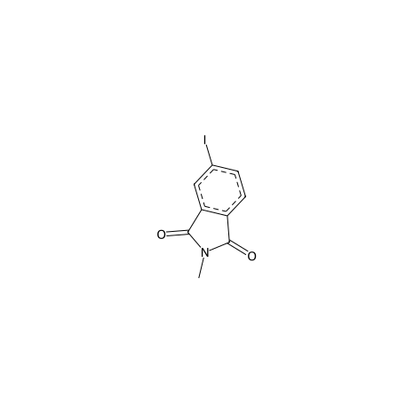 CN1C(=O)c2ccc(I)cc2C1=O